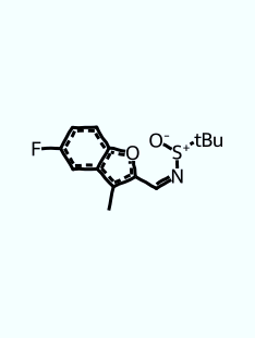 Cc1c(/C=N\[S+]([O-])C(C)(C)C)oc2ccc(F)cc12